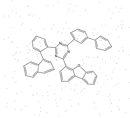 c1ccc(-c2cccc(-c3nc(-c4ccccc4-c4cccc5ccccc45)nc(-c4cccc5c4oc4ccccc45)n3)c2)cc1